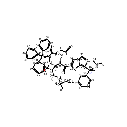 C=CCOC(=O)C(N1C(=O)[C@H]([C@@H](C)O[Si](C)(C)C(C)(C)C)[C@H]1[C@@H](C)C(=O)c1cn2cnc(/C(=N\N(C)C)c3cccnc3)c2s1)=P(c1ccccc1)(c1ccccc1)c1ccccc1